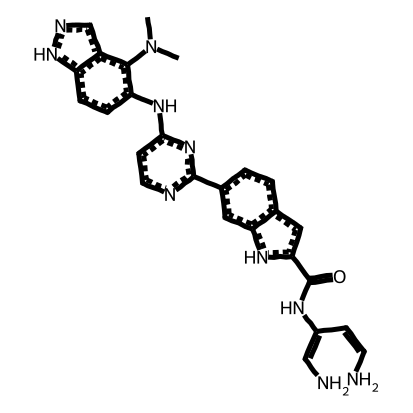 CN(C)c1c(Nc2ccnc(-c3ccc4cc(C(=O)NC(/C=C\N)=C/N)[nH]c4c3)n2)ccc2[nH]ncc12